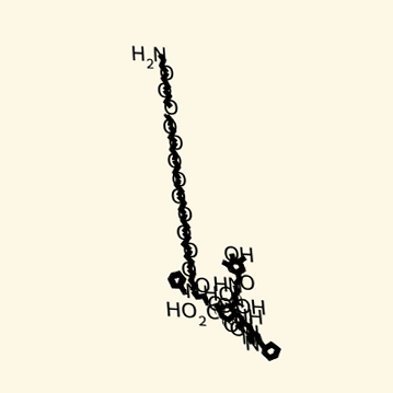 Cc1cc(C(=O)NC[C@@H](O)[C@@H](O)C2O[C@@](OCCCN(Cc3ccccc3)C(=O)CCOCCOCCOCCOCCOCCOCCOCCOCCOCCOCCOCCOCCN)(C(=O)O)C[C@@H](O)C2NC(=O)Cn2cc(C3CCCCC3)nn2)cc(C)c1O